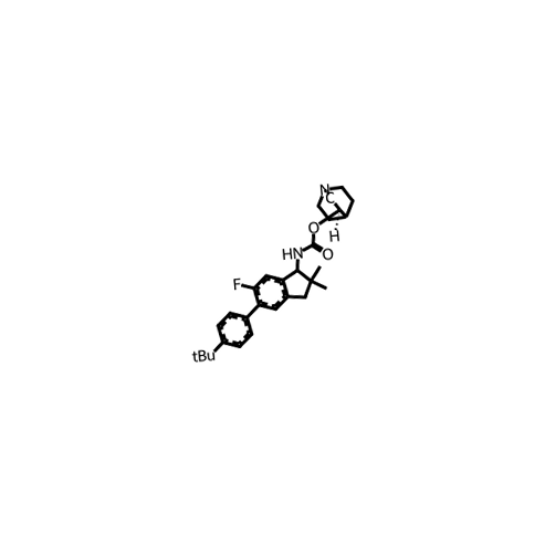 CC(C)(C)c1ccc(-c2cc3c(cc2F)C(NC(=O)O[C@H]2CN4CCC2CC4)C(C)(C)C3)cc1